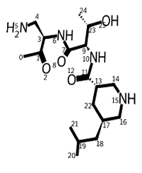 CC(=O)[C@@H](CN)NC(=O)[C@@H](NC(=O)[C@@H]1CNC[C@@H](CC(C)C)C1)[C@H](C)O